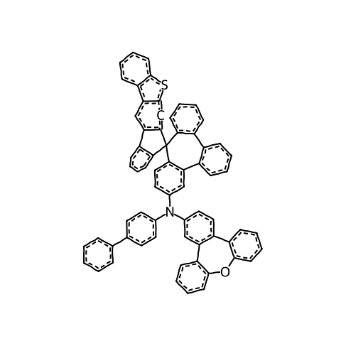 c1ccc(-c2ccc(N(c3ccc4c(c3)-c3ccccc3Oc3ccccc3-4)c3ccc4c(c3)-c3ccccc3-c3ccccc3C43c4ccccc4-c4cc5c(cc43)sc3ccccc35)cc2)cc1